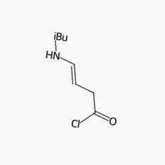 CCC(C)N/C=C/CC(=O)Cl